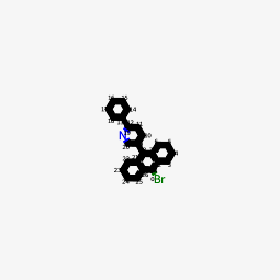 Brc1c2ccccc2c(-c2ccc(-c3ccccc3)nc2)c2ccccc12